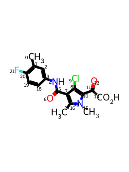 Cc1cc(NC(=O)c2c(Cl)c(C(=O)C(=O)O)n(C)c2C)ccc1F